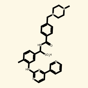 Cc1ccc(C(NC(=O)c2ccc(CN3CCN(C)CC3)cc2)S(=O)(=O)O)cc1Nc1nccc(-c2cccnc2)n1